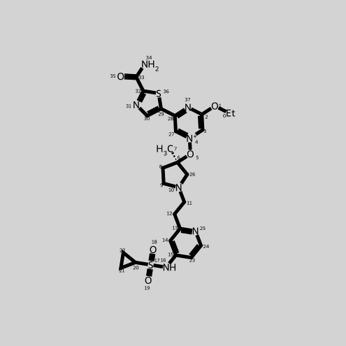 CCOc1c[n+](O[C@]2(C)CCN(CCc3cc(NS(=O)(=O)C4CC4)ccn3)C2)cc(-c2cnc(C(N)=O)s2)n1